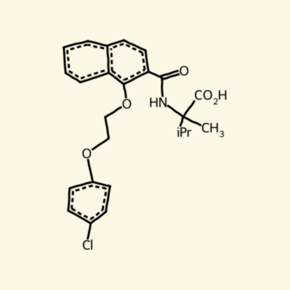 CC(C)C(C)(NC(=O)c1ccc2ccccc2c1OCCOc1ccc(Cl)cc1)C(=O)O